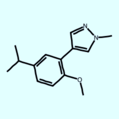 COc1ccc(C(C)C)cc1-c1cnn(C)c1